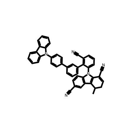 CC1CC=C(C#N)c2c1c1cc(C#N)ccc1n2-c1cccc(C#N)c1-c1cccc(-c2ccc(-n3c4ccccc4c4ccccc43)cc2)c1